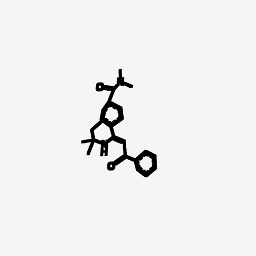 CN(C)C(=O)c1ccc2c(c1)CC(C)(C)NC2=CC(=O)c1ccccc1